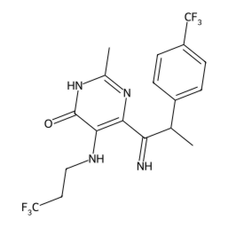 Cc1nc(C(=N)C(C)c2ccc(C(F)(F)F)cc2)c(NCCC(F)(F)F)c(=O)[nH]1